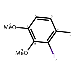 COc1ccc(C)c(I)c1OC